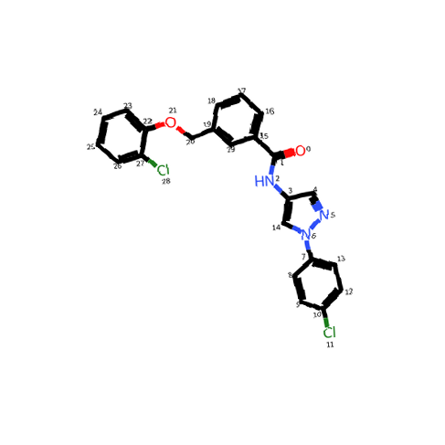 O=C(Nc1cnn(-c2ccc(Cl)cc2)c1)c1cccc(COc2ccccc2Cl)c1